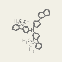 C[Si]1(C)c2ccccc2-c2ccc(N(c3ccc(-c4ccc5ccccc5c4)cc3)c3ccc4c(c3)[Si](C)(C)c3ccccc3-4)cc21